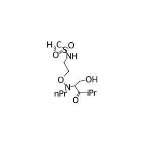 [CH2]CCN(OCCNS(C)(=O)=O)C(CO)C(=O)C(C)C